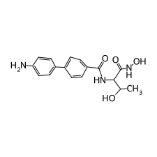 CC(O)C(NC(=O)c1ccc(-c2ccc(N)cc2)cc1)C(=O)NO